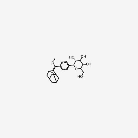 COC(=C1C2CC3CC(C2)CC1C3)c1ccc([C@@H]2O[C@H](CO)[C@H](O)[C@H](O)[C@H]2O)cc1